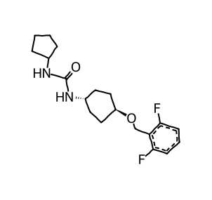 O=C(NC1CCCC1)N[C@H]1CC[C@H](OCc2c(F)cccc2F)CC1